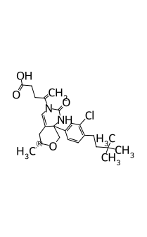 C=C(CCC(=O)O)N1C=C2C[C@@H](C)OCC2(c2ccc(CCC(C)(C)C)c(Cl)c2)NC1=O